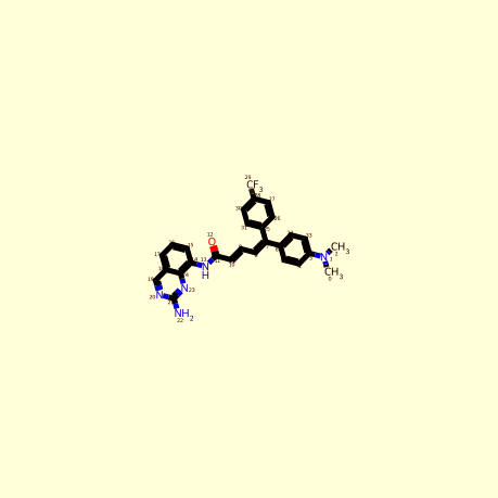 CN(C)c1ccc(C(=CC=CC(=O)Nc2cccc3cnc(N)nc23)c2ccc(C(F)(F)F)cc2)cc1